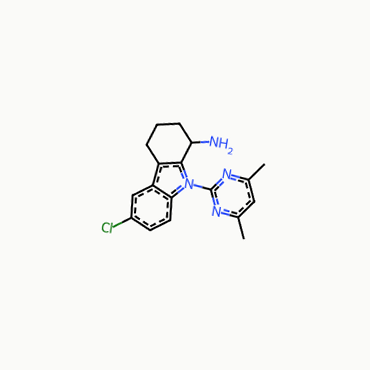 Cc1cc(C)nc(-n2c3c(c4cc(Cl)ccc42)CCCC3N)n1